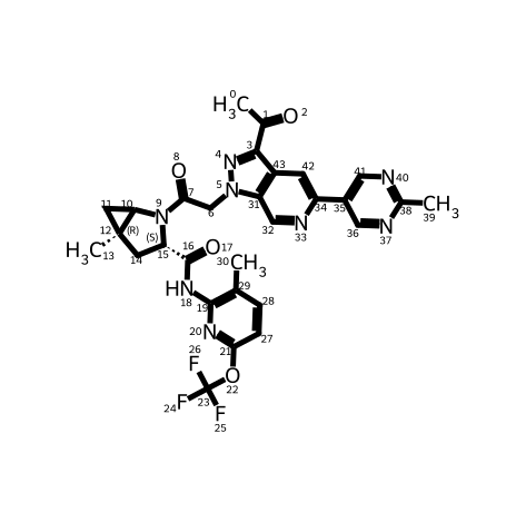 CC(=O)c1nn(CC(=O)N2C3C[C@]3(C)C[C@H]2C(=O)Nc2nc(OC(F)(F)F)ccc2C)c2cnc(-c3cnc(C)nc3)cc12